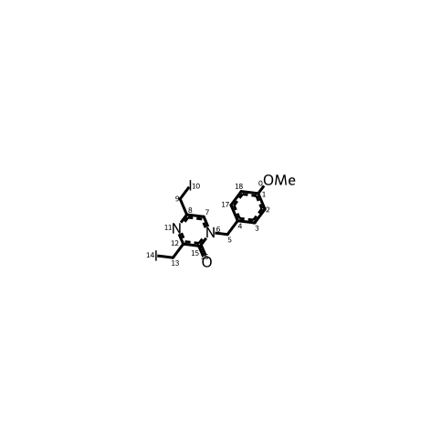 COc1ccc(Cn2cc(CI)nc(CI)c2=O)cc1